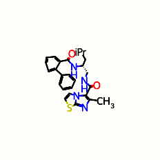 Cc1nc2sccn2c1C(=O)NC[C@@H](CC(C)C)NC(=O)c1ccccc1-c1ccccc1